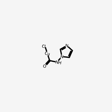 O=[C](Nn1ccnc1)[Cu][Cl]